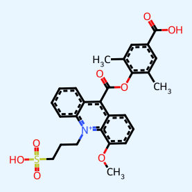 COc1cccc2c(C(=O)Oc3c(C)cc(C(=O)O)cc3C)c3ccccc3[n+](CCCS(=O)(=O)O)c12